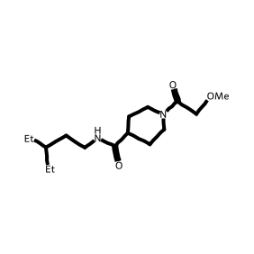 CCC(CC)CCNC(=O)C1CCN(C(=O)COC)CC1